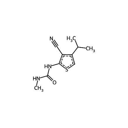 CNC(=O)Nc1scc(C(C)C)c1C#N